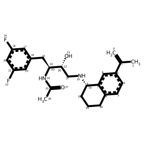 C=C(C)c1ccc2c(c1)[C@@H](NC[C@@H](O)[C@H](Cc1cc(F)cc(F)c1)NC(C)=O)CCC2